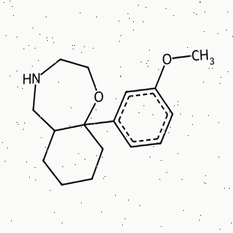 COc1cccc(C23CCCCC2CNCCO3)c1